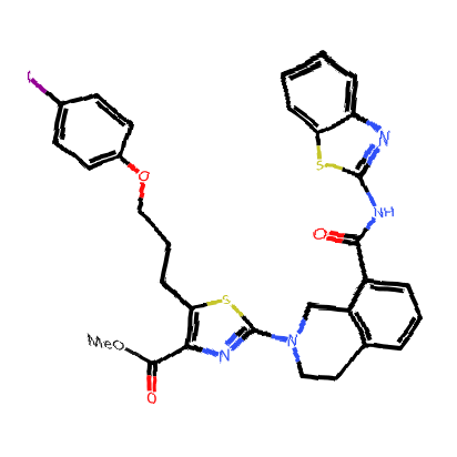 COC(=O)c1nc(N2CCc3cccc(C(=O)Nc4nc5ccccc5s4)c3C2)sc1CCCOc1ccc(I)cc1